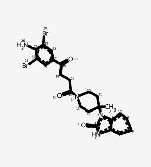 CC1(n2c(=O)[nH]c3ccccc32)CCN(C(=O)CCC(=O)c2cc(Br)c(N)c(Br)c2)CC1